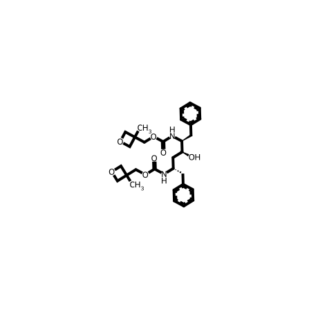 CC1(COC(=O)N[C@@H](Cc2ccccc2)C[C@H](O)[C@H](Cc2ccccc2)NC(=O)OCC2(C)COC2)COC1